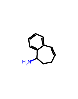 NC1CCC=Cc2ccccc21